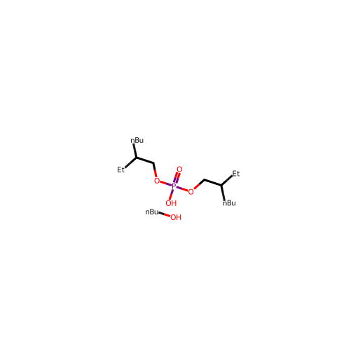 CCCCC(CC)COP(=O)(O)OCC(CC)CCCC.CCCCO